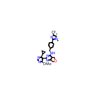 COc1ncnc(C2CC2)c1-c1nc2c(c(NCc3ccc(-c4nc(C(F)(F)F)cn4C)cc3)n1)COC2